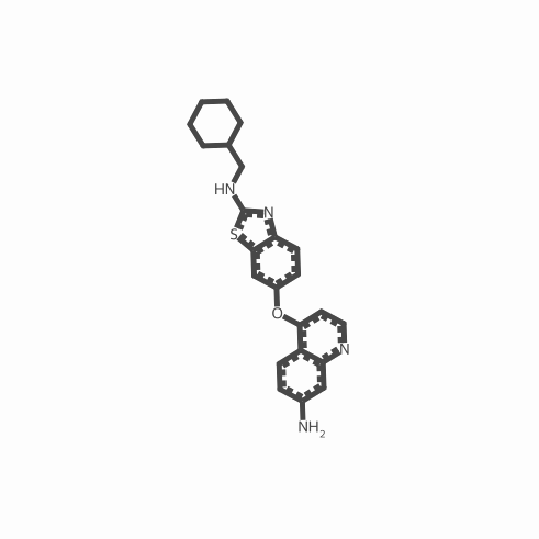 Nc1ccc2c(Oc3ccc4nc(NCC5CCCCC5)sc4c3)ccnc2c1